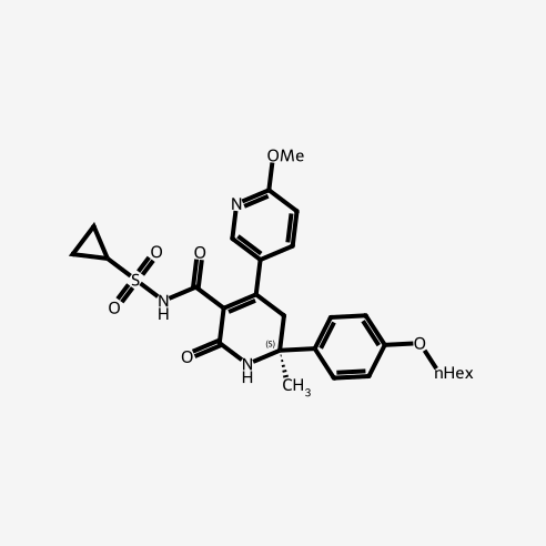 CCCCCCOc1ccc([C@]2(C)CC(c3ccc(OC)nc3)=C(C(=O)NS(=O)(=O)C3CC3)C(=O)N2)cc1